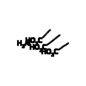 CC(=O)O.CC(=O)O.CC(=O)O.[AlH3]